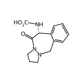 O=C(O)N[C@H]1C(=O)N2CCCN2Cc2ccccc21